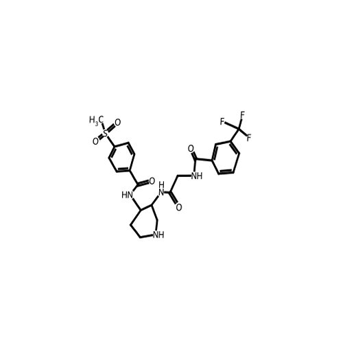 CS(=O)(=O)c1ccc(C(=O)NC2CCNCC2NC(=O)CNC(=O)c2cccc(C(F)(F)F)c2)cc1